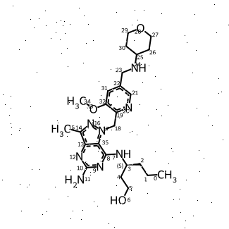 CCC[C@@H](CCO)Nc1nc(N)nc2c(C)nn(Cc3ncc(CNC4CCOCC4)cc3OC)c12